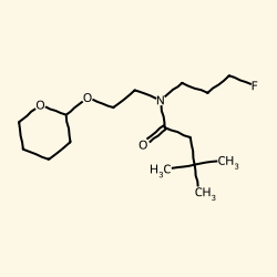 CC(C)(C)CC(=O)N(CCCF)CCOC1CCCCO1